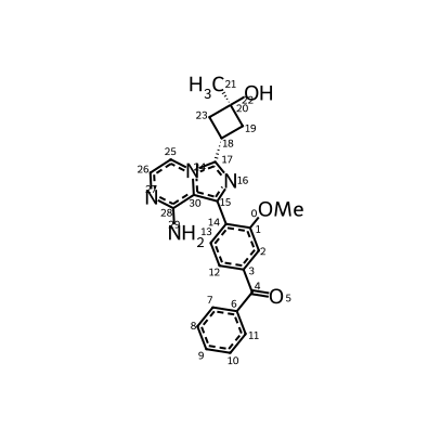 COc1cc(C(=O)c2ccccc2)ccc1-c1nc([C@H]2C[C@](C)(O)C2)n2ccnc(N)c12